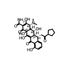 CN(C)[C@H]1C(O)=C(C(N)=O)C(=O)[C@@]2(O)C(O)=C3C(=O)c4c(O)cccc4[C@@H](CC(=O)C4CCCC4)[C@@H]3[C@@H](O)[C@H]12